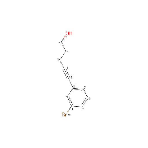 OCCCC#Cc1cccc(Br)c1